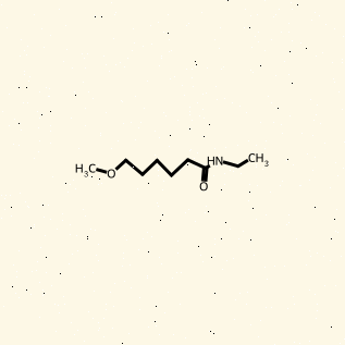 CCNC(=O)CCCCCOC